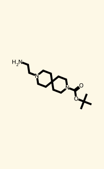 CC(C)(C)OC(=O)N1CCC2(CCN(CCN)CC2)CC1